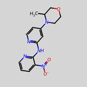 CC1COCCN1c1c[c]nc(Nc2ncccc2[N+](=O)[O-])c1